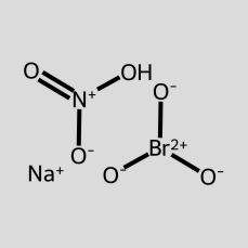 O=[N+]([O-])O.[Na+].[O-][Br+2]([O-])[O-]